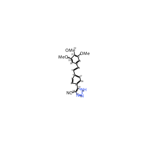 COc1cc(C=Cc2ccc(-c3[nH]nnc3C#N)cc2)cc(OC)c1OC